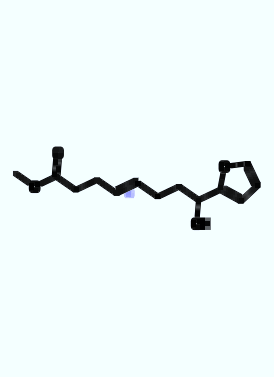 COC(=O)CC/C=C/CCC(O)c1ccco1